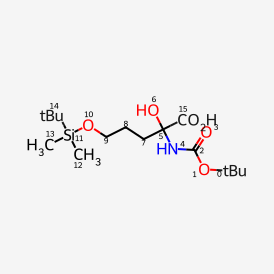 CC(C)(C)OC(=O)NC(O)(CCCO[Si](C)(C)C(C)(C)C)C(=O)O